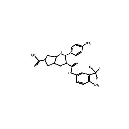 CC(=O)N1CC2CC(C(=O)Nc3ccc(C)c(C(F)(F)F)c3)C(c3ccc(N)cc3)NC2C1